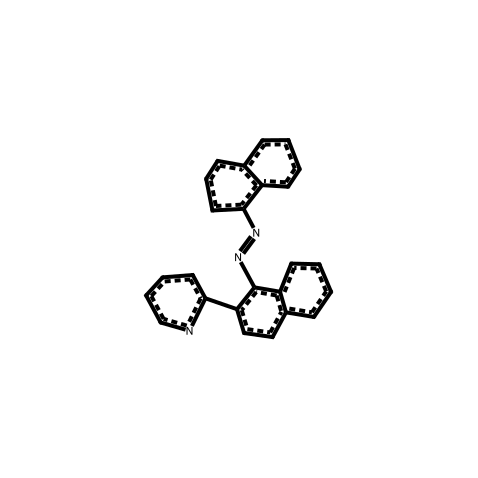 c1ccc(-c2ccc3ccccc3c2N=Nc2cccc3ccccc23)nc1